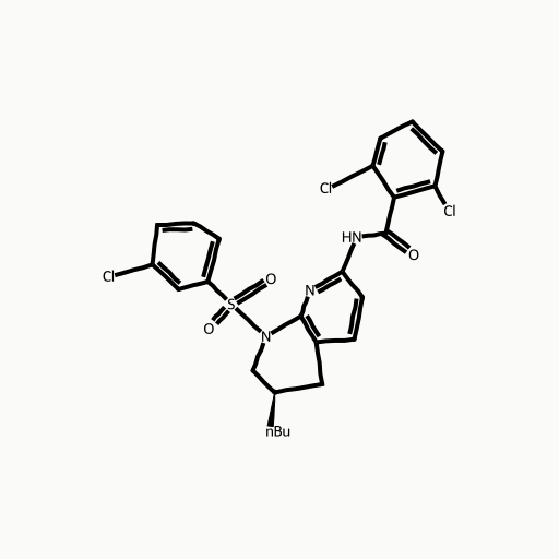 CCCC[C@@H]1Cc2ccc(NC(=O)c3c(Cl)cccc3Cl)nc2N(S(=O)(=O)c2cccc(Cl)c2)C1